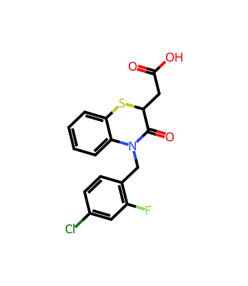 O=C(O)CC1Sc2ccccc2N(Cc2ccc(Cl)cc2F)C1=O